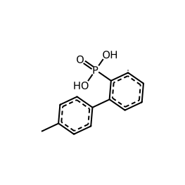 Cc1ccc(-c2ccc[c]c2P(=O)(O)O)cc1